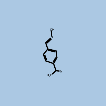 CC(Br)c1ccc(C=NO)cc1